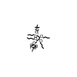 CCCCO[C@@H]([C@H](OCCCC)[C@@H](COS(=O)(=O)C(F)(F)F)OCCCC)[C@@H](CO[Si](C)(C)C(C)(C)C)OCCCC